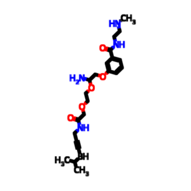 CNCCNC(=O)c1cccc(OCC(N)OCCOCC(=O)NCC#CBC(C)C)c1